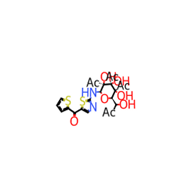 CC(=O)C(O)[C@H]1O[C@@H](Nc2ncc(C(=O)c3cccs3)s2)[C@](O)(C(C)=O)[C@](O)(C(C)=O)[C@@]1(O)C(C)=O